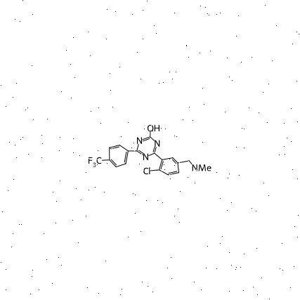 CNCc1ccc(Cl)c(-c2nc(O)nc(-c3ccc(C(F)(F)F)cc3)n2)c1